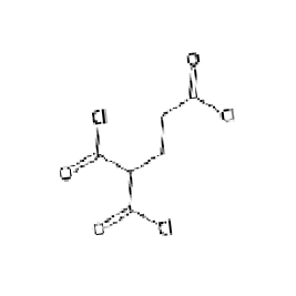 O=C(Cl)CCC(C(=O)Cl)C(=O)Cl